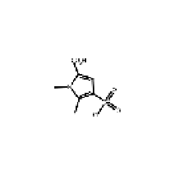 Cc1c(S(=O)(=O)Cl)cc(C(=O)O)n1C